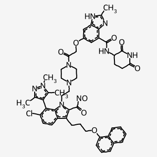 Cc1nc2c(C(=O)NC3CCC(=O)NC3=O)cc(OCC(=O)N3CCN(CCn4c(C(=O)N=O)c(CCCOc5cccc6ccccc56)c5ccc(Cl)c(-c6c(C)nn(C)c6C)c54)CC3)cc2[nH]1